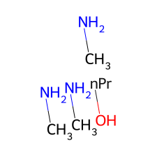 CCCO.CN.CN.CN